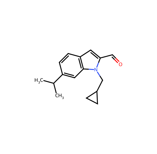 CC(C)c1ccc2cc(C=O)n(CC3CC3)c2c1